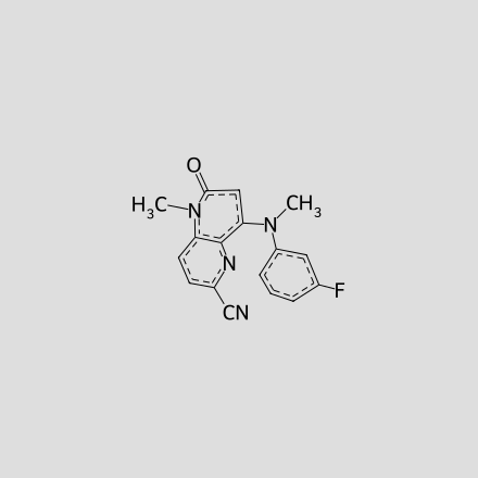 CN(c1cccc(F)c1)c1cc(=O)n(C)c2ccc(C#N)nc12